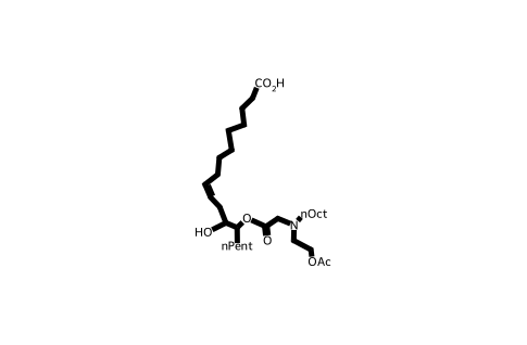 CCCCCCCCN(CCOC(C)=O)CC(=O)OC(CCCCC)C(O)C/C=C\CCCCCCCC(=O)O